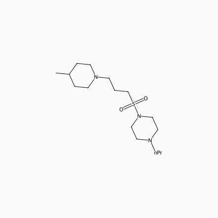 CCCN1CCN(S(=O)(=O)CCCN2CCC(C)CC2)CC1